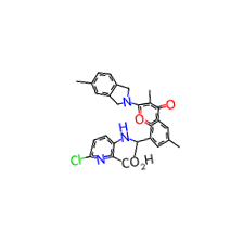 Cc1ccc2c(c1)CN(c1oc3c(C(C)Nc4ccc(Cl)nc4C(=O)O)cc(C)cc3c(=O)c1C)C2